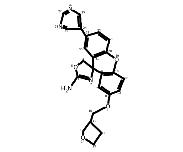 NC1=NC2(CO1)c1cc(OCC3CCOC3)ccc1Oc1ccc(-c3cncnc3)cc12